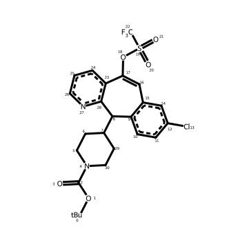 CC(C)(C)OC(=O)N1CCC(C2c3ccc(Cl)cc3C=C(OS(=O)(=O)C(F)(F)F)c3cccnc32)CC1